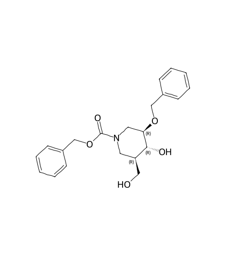 O=C(OCc1ccccc1)N1C[C@H](CO)[C@@H](O)[C@H](OCc2ccccc2)C1